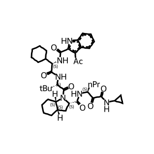 CCC[C@H](NC(=O)[C@@H]1C[C@@H]2CCCC[C@@H]2N1C(=O)[C@@H](NC(=O)[C@@H](NC(=O)c1[nH]c2ccccc2c1C(C)=O)C1CCCCC1)C(C)(C)C)C(=O)C(=O)NC1CC1